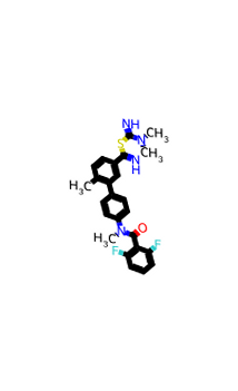 Cc1ccc(C(=N)SC(=N)N(C)C)cc1-c1ccc(N(C)C(=O)c2c(F)cccc2F)cc1